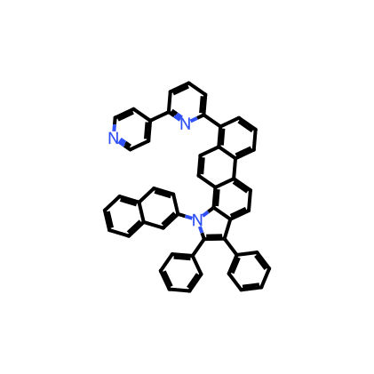 c1ccc(-c2c(-c3ccccc3)n(-c3ccc4ccccc4c3)c3c2ccc2c4cccc(-c5cccc(-c6ccncc6)n5)c4ccc23)cc1